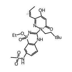 C/C=C\C1=N[N+](CCC(C)(C)C)(C2=NP(=O)(OCC)c3cc(NS(C)(=O)=O)ccc3N2)C(=O)C=C1O